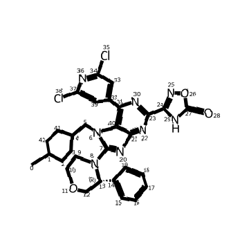 CC1CCC(Cn2c(N3CCOC[C@H]3c3ccccc3)nc3nc(-c4noc(=O)[nH]4)nc(-c4cc(Cl)nc(Cl)c4)c32)CC1